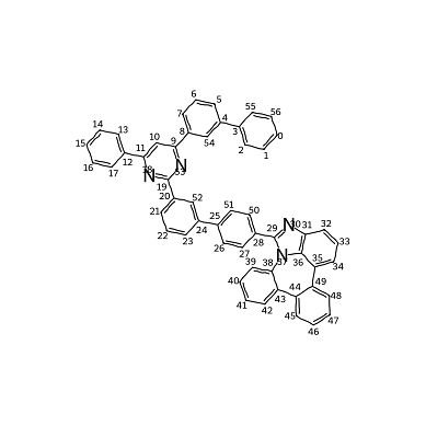 c1ccc(-c2cccc(-c3cc(-c4ccccc4)nc(-c4cccc(-c5ccc(-c6nc7cccc8c7n6-c6ccccc6-c6ccccc6-8)cc5)c4)n3)c2)cc1